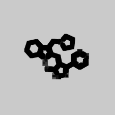 O=C1NN=C(c2ccnnc2)C1=Cc1[nH]c2c(c1CN1CCCC1)CCCC2